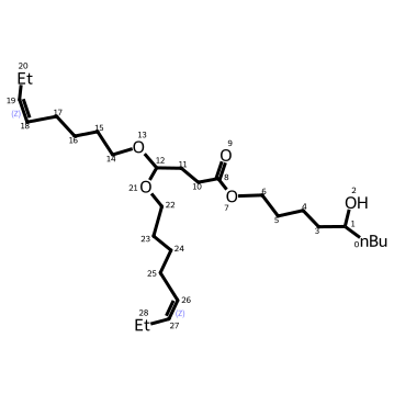 [CH2]CCCC(O)CCCCOC(=O)CCC(OCCCC/C=C\CC)OCCCC/C=C\CC